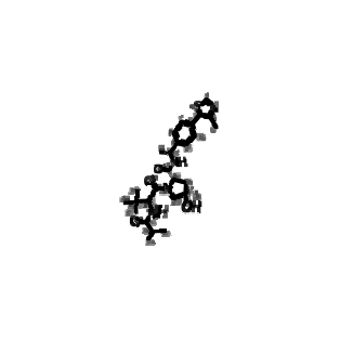 Cc1ncsc1-c1ccc([C@H](C)NC(=O)[C@@H]2C[C@@](C)(O)CN2C(=O)[C@@H](NC(=O)C(C)C)C(C)(C)C)cc1